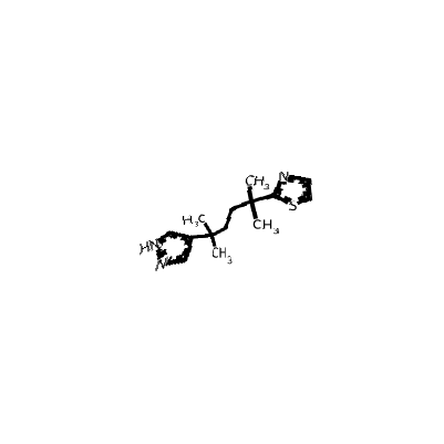 CC(C)(CCC(C)(C)c1nccs1)c1cn[nH]c1